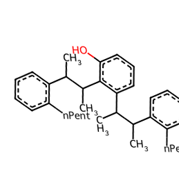 CCCCCc1ccccc1C(C)C(C)c1cccc(O)c1C(C)C(C)c1ccccc1CCCCC